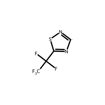 FC(F)(F)C(F)(F)c1n[c]ns1